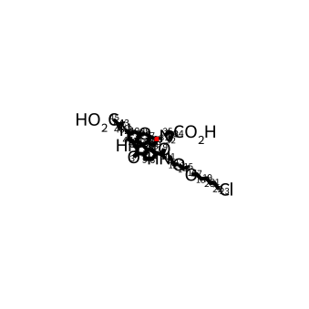 N=C1C(=O)c2ccc(C(=O)NCCOCCOCCCCCCCl)cc2C12c1ccc(N3CC(C(=O)O)C3)cc1Oc1cc(N3CC(C(=O)O)C3)ccc12